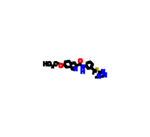 C[C@H](Sc1nncn1C)c1cccc(NC(=O)c2cc3ccc(OCC(=O)O)cc3cn2)c1